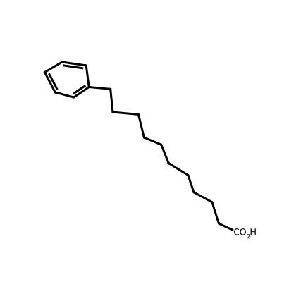 O=C(O)CCCCCCCCCCc1ccccc1